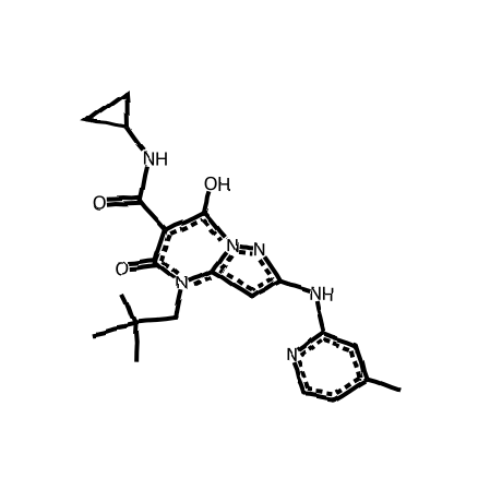 Cc1ccnc(Nc2cc3n(CC(C)(C)C)c(=O)c(C(=O)NC4CC4)c(O)n3n2)c1